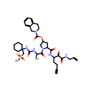 C#CCCC(NC(=O)C1CC(OC(=O)N2CCc3ccccc3C2)CN1C(=O)C(NC(=O)NC1(CS(=O)(=O)C(C)(C)C)CCCCC1)C(C)(C)C)C(=O)C(=O)NCC=C